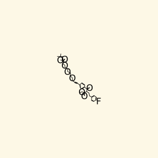 COC(=O)C(CCc1ccc(F)cc1)C(=O)c1ccc(C#CCOCCOCCOCC(=O)OC(C)(C)C)cc1